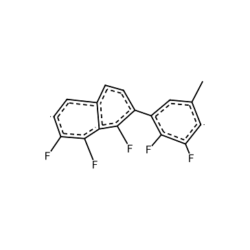 Cc1[c]c(F)c(F)c(-c2ccc3c[c]c(F)c(F)c3c2F)c1